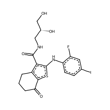 O=C1CCCc2c1sc(Nc1ccc(I)cc1F)c2C(=O)NC[C@@H](O)CO